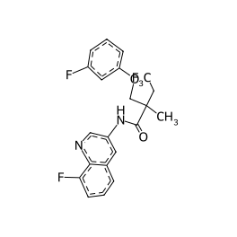 CC(COc1cccc(F)c1)(CC(F)(F)F)C(=O)Nc1cnc2c(F)cccc2c1